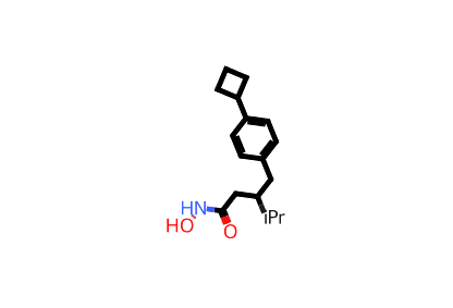 CC(C)C(CC(=O)NO)Cc1ccc(C2CCC2)cc1